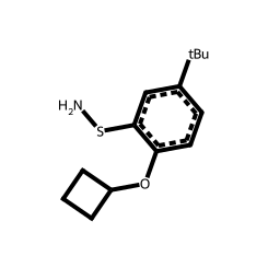 CC(C)(C)c1ccc(OC2CCC2)c(SN)c1